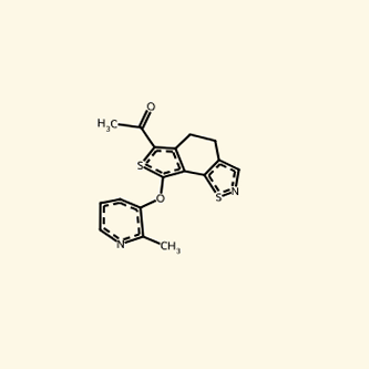 CC(=O)c1sc(Oc2cccnc2C)c2c1CCc1cnsc1-2